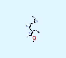 C=CC(/C=C\C=C/C)=C(/C)OC